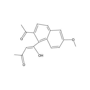 COc1ccc2c(C(O)=CC(C)=O)c(C(C)=O)ccc2c1